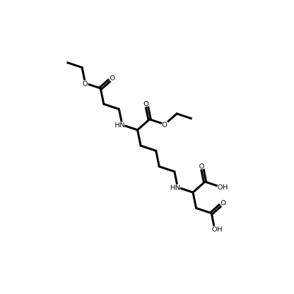 CCOC(=O)CCNC(CCCCNC(CC(=O)O)C(=O)O)C(=O)OCC